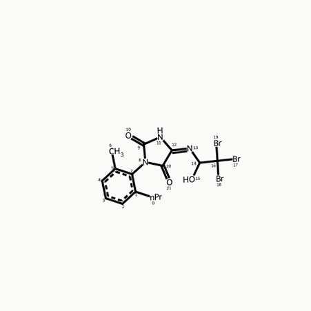 CCCc1cccc(C)c1N1C(=O)NC(=NC(O)C(Br)(Br)Br)C1=O